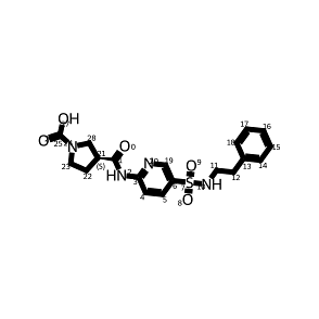 O=C(Nc1ccc(S(=O)(=O)NCCc2ccccc2)cn1)[C@H]1CCN(C(=O)O)C1